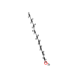 C#CC#CC#CC#CC#CC#CC#CC#CC#COC